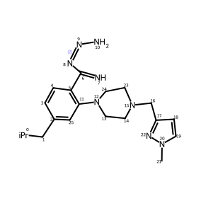 CC(C)Cc1ccc(C(=N)/N=N\N)c(N2CCN(Cc3ccn(C)n3)CC2)c1